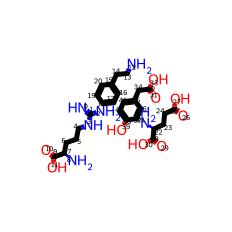 N=C(N)NCCC[C@@H](N)C(=O)O.NCCc1ccccc1.N[C@@H](CCC(=O)O)C(=O)O.O=C(O)Cc1ccc(O)cc1